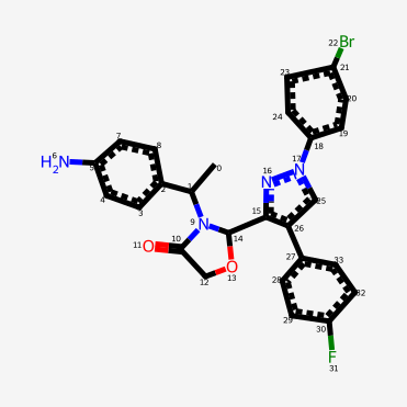 CC(c1ccc(N)cc1)N1C(=O)COC1c1nn(-c2ccc(Br)cc2)cc1-c1ccc(F)cc1